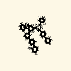 c1ccc(-c2ccc(-c3nc(-c4ccccc4)nc(-c4cc(-c5cccc(-c6ccc7c(c6)sc6ccccc67)c5)c5c(c4)oc4ccccc45)n3)cc2)cc1